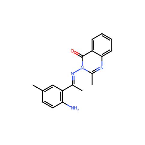 C/C(=N\n1c(C)nc2ccccc2c1=O)c1cc(C)ccc1N